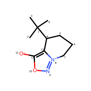 CC(C)(C)C1CCC[n+]2noc([O-])c21